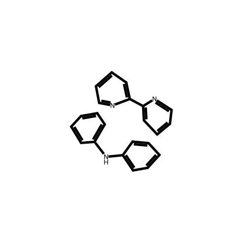 c1ccc(-c2ccccn2)nc1.c1ccc(Nc2ccccc2)cc1